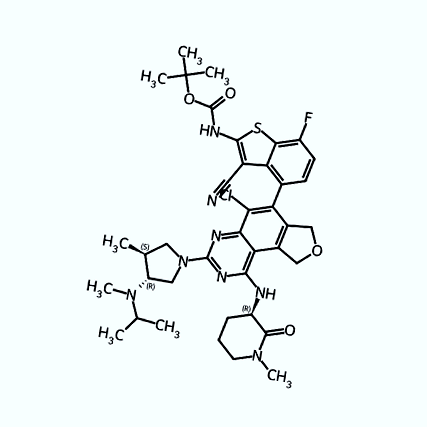 CC(C)N(C)[C@H]1CN(c2nc(N[C@@H]3CCCN(C)C3=O)c3c4c(c(-c5ccc(F)c6sc(NC(=O)OC(C)(C)C)c(C#N)c56)c(Cl)c3n2)COC4)C[C@@H]1C